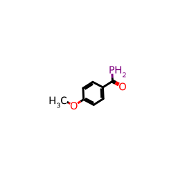 COc1ccc(C(=O)P)cc1